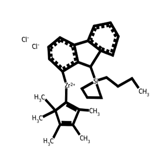 CCCC[Si]1(C2c3ccccc3-c3ccc[c]([Zr+2][C]4=C(C)C(C)=C(C)C4(C)C)c32)CCC1.[Cl-].[Cl-]